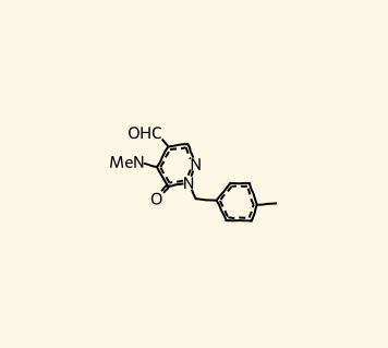 CNc1c(C=O)cnn(Cc2ccc(C)cc2)c1=O